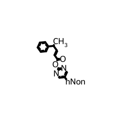 CCCCCCCCCc1cnc(OC(=O)/C=C/C(C)c2ccccc2)nc1